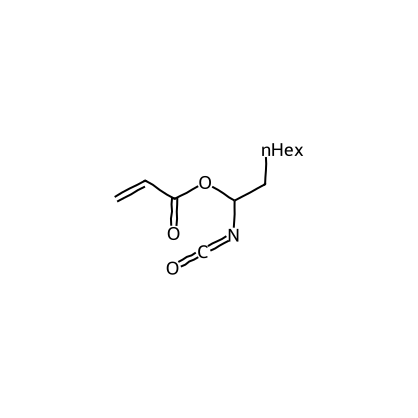 C=CC(=O)OC(CCCCCCC)N=C=O